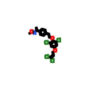 CON=C(C)c1ccc(CCOc2c(Cl)cc(OCC=C(Cl)Cl)cc2Cl)cc1